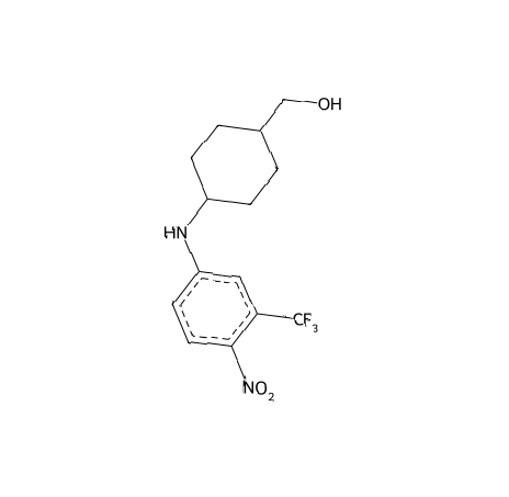 O=[N+]([O-])c1ccc(NC2CCC(CO)CC2)cc1C(F)(F)F